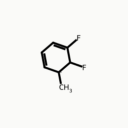 C[C]1C=CC=C(F)C1F